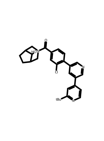 CC(C)(C)c1cc(-c2cncc(-c3ccc(C(=O)N4CC5CCC(C4)C5O)cc3Cl)c2)ccn1